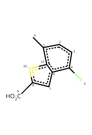 Cc1ccc(F)c2cc(C(=O)O)sc12